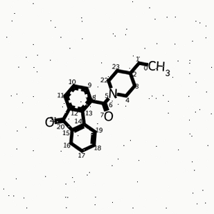 CCC1CCN(C(=O)c2cccc3c2C2=C(CCC=C2)C3=O)CC1